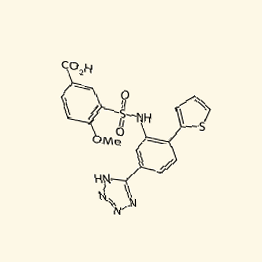 COc1ccc(C(=O)O)cc1S(=O)(=O)Nc1cc(-c2nnn[nH]2)ccc1-c1cccs1